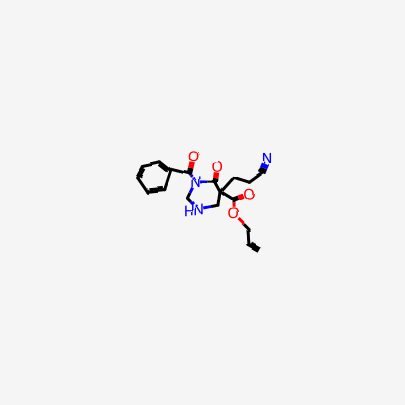 C=CCOC(=O)C1(CCC#N)CNCN(C(=O)c2ccccc2)C1=O